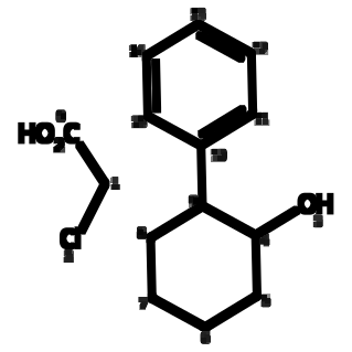 O=C(O)CCl.OC1CCCCC1c1ccccc1